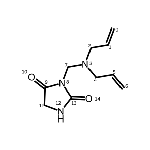 C=CCN(CC=C)CN1C(=O)CNC1=O